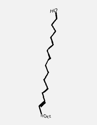 CCCCCCCCC=CCCCCCCCCCCCCO